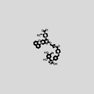 CCC(=O)N1CCN(c2nc(OCC3CN(C(=O)C4CCN(Cc5ccc(-n6c(O)nnc6-c6cc(C(C)C)c(O)cc6O)cc5)CC4)C3)nc3c2CCN(c2cccc4cccc(Cl)c24)C3)C[C@@H]1CC#N